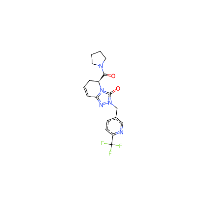 O=C([C@@H]1CC=Cc2nn(Cc3ccc(C(F)(F)F)nc3)c(=O)n21)N1CCCC1